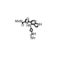 CCCSN[C@H]1C[C@@H](Nc2c(-c3nc(C(=O)NC)co3)cnc3[nH]ccc23)C1